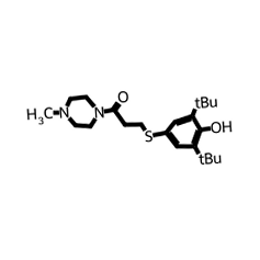 CN1CCN(C(=O)CCSc2cc(C(C)(C)C)c(O)c(C(C)(C)C)c2)CC1